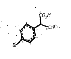 O=CC(C(=O)O)c1ccc(Br)cc1